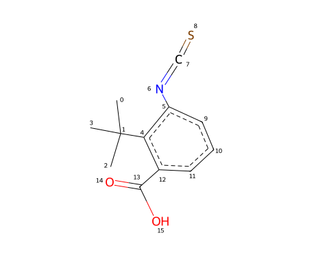 CC(C)(C)c1c(N=C=S)cccc1C(=O)O